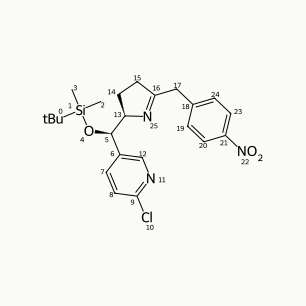 CC(C)(C)[Si](C)(C)O[C@H](c1ccc(Cl)nc1)[C@H]1CCC(Cc2ccc([N+](=O)[O-])cc2)=N1